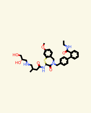 CCNC(=O)c1ccccc1-c1ccc(CN2Cc3ccc(OC)cc3S[C@@H](NC(=O)CC(C)CNC[C@H](O)CO)C2=O)cc1